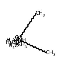 CCCCCCCCCCCCCCCCCCOC(=O)C1(NC(=O)CCCCCCCCCCCCCCCCC)CC(C)(C)NC(C)(C)C1